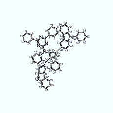 c1ccc(-c2nc(-c3ccccc3)nc(N3c4ccccc4C4(c5ccccc5-c5c4ccc4oc6ccccc6c54)c4ccc(-c5ccc6c(c5)c5ccccc5n6-c5ccccc5)cc43)n2)cc1